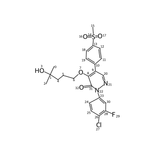 CC(C)(O)CCCOc1c(-c2ccc(S(C)(=O)=O)cc2)cnn(-c2ccc(Cl)c(F)c2)c1=O